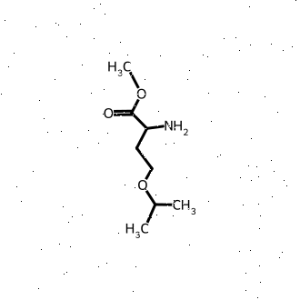 COC(=O)C(N)CCOC(C)C